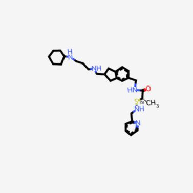 C[C@H](SNCc1ccccn1)C(=O)NCc1ccc2c(c1)CC(CNCCCNC1CCCCC1)C2